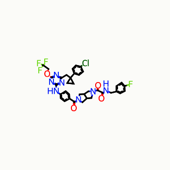 O=C(NCc1ccc(F)cc1)C(=O)N1CC2CN(C(=O)c3ccc(Nc4nc(CC5(c6ccc(Cl)cc6)CC5)nc(OCC(F)(F)F)n4)cc3)CC2C1